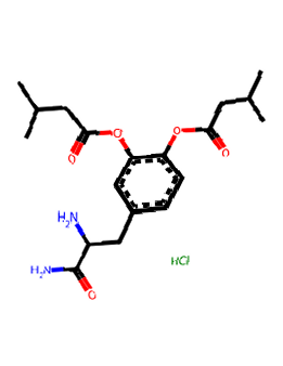 CC(C)CC(=O)Oc1ccc(CC(N)C(N)=O)cc1OC(=O)CC(C)C.Cl